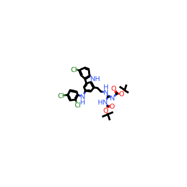 CC(C)(C)OC(=O)/N=C(\NCCc1cc(Nc2ccc(Cl)cc2Cl)cc2c1[nH]c1ccc(Cl)cc12)NC(=O)OC(C)(C)C